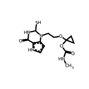 CNC(=O)OC1(OCCN2c3cc[nH]c3C(=O)NC2S)CC1